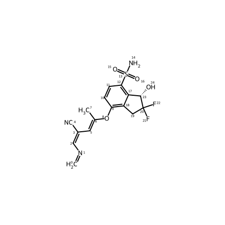 C=N/C=C(C#N)\C=C(/C)Oc1ccc(S(N)(=O)=O)c2c1CC(F)(F)[C@H]2O